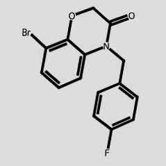 O=C1COc2c(Br)cccc2N1Cc1ccc(F)cc1